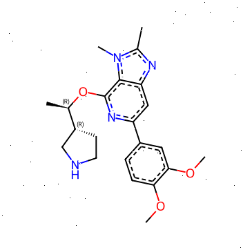 COc1ccc(-c2cc3nc(C)n(C)c3c(O[C@H](C)[C@@H]3CCNC3)n2)cc1OC